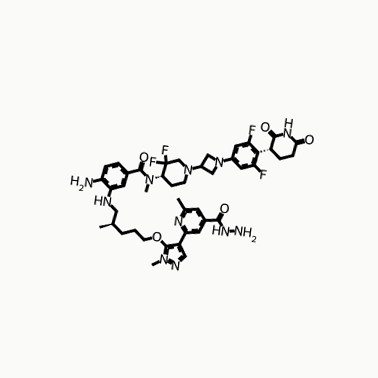 Cc1cc(C(=O)NN)cc(-c2cnn(C)c2OCCC[C@@H](C)CNc2cc(C(=O)N(C)[C@H]3CCN(C4CN(c5cc(F)c([C@H]6CCC(=O)NC6=O)c(F)c5)C4)CC3(F)F)ccc2N)n1